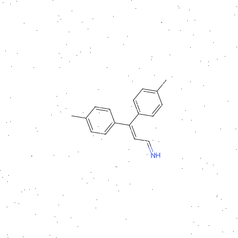 Cc1ccc(C(=CC=N)c2ccc(C)cc2)cc1